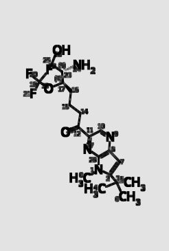 Cn1c(C(C)(C)C)cc2ncc(C(=O)CCC[C@@H](OC(F)(F)F)[C@@H](N)CO)nc21